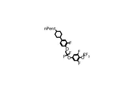 CCCCCC1CCC(c2ccc(OCC(F)(F)Oc3cc(F)c(OC(F)(F)F)c(F)c3)c(F)c2)CC1